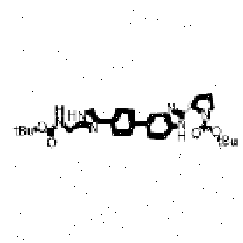 CC(C)(C)OC(=O)NCc1nc(-c2ccc(-c3ccc4[nH]c([C@@H]5CCCN5C(=O)OC(C)(C)C)nc4c3)cc2)c[nH]1